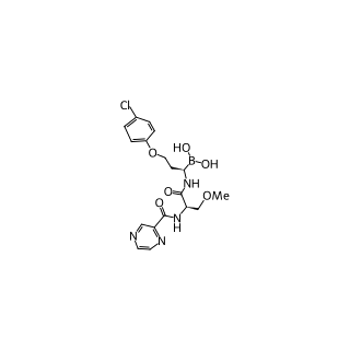 COC[C@@H](NC(=O)c1cnccn1)C(=O)N[C@@H](CCOc1ccc(Cl)cc1)B(O)O